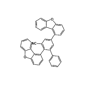 N#Cc1cc(-c2cccc3oc4ccccc4c23)cc(-c2ccccc2)c1-c1cccc2oc3ccccc3c12